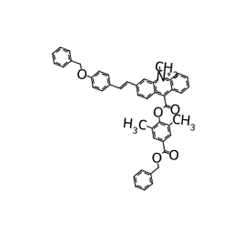 Cc1cc(C(=O)OCc2ccccc2)cc(C)c1OC(=O)c1c2ccccc2[n+](C)c2cc(/C=C/c3ccc(OCc4ccccc4)cc3)ccc12